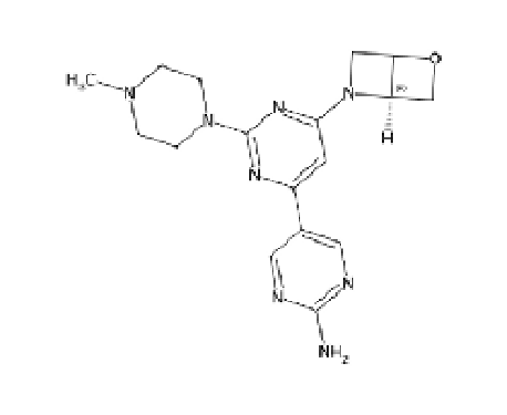 CN1CCN(c2nc(-c3cnc(N)nc3)cc(N3CC4OC[C@H]43)n2)CC1